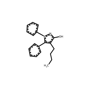 CCCCc1c(O)nn(-c2ccccc2)c1-c1ccccc1